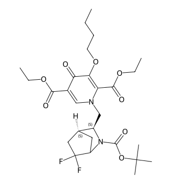 CCCCOc1c(C(=O)OCC)n(C[C@@H]2[C@H]3CC(N2C(=O)OC(C)(C)C)C(F)(F)C3)cc(C(=O)OCC)c1=O